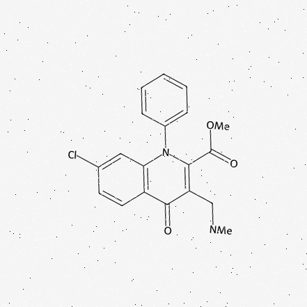 CNCc1c(C(=O)OC)n(-c2ccccc2)c2cc(Cl)ccc2c1=O